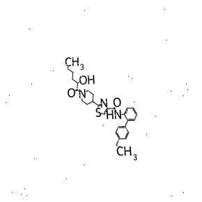 CCCCC(O)C(=O)N1CCC(c2nc(C(=O)Nc3ccccc3-c3ccc(CC)cc3)cs2)CC1